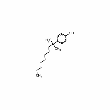 CCCCCCCCC(C)(C)c1ccc(O)cc1